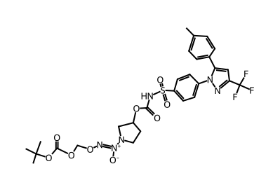 Cc1ccc(-c2cc(C(F)(F)F)nn2-c2ccc(S(=O)(=O)NC(=O)OC3CCN([N+]([O-])=NOCOC(=O)OC(C)(C)C)C3)cc2)cc1